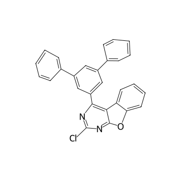 Clc1nc(-c2cc(-c3ccccc3)cc(-c3ccccc3)c2)c2c(n1)oc1ccccc12